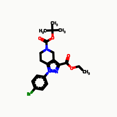 CCOC(=O)c1nn(-c2ccc(Br)cc2)c2c1CN(C(=O)OC(C)(C)C)CC2